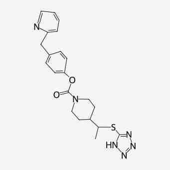 CC(Sc1nnn[nH]1)C1CCN(C(=O)Oc2ccc(Cc3ccccn3)cc2)CC1